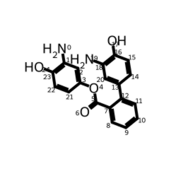 Nc1cc(OC(=O)c2ccccc2-c2ccc(O)c(N)c2)ccc1O